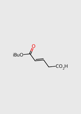 CC(C)COC(=O)C=CCC(=O)O